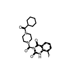 O=C(C1CCCCC1)N1CCN(C(=O)n2c(=O)[nH]c3c(F)cccc3c2=O)CC1